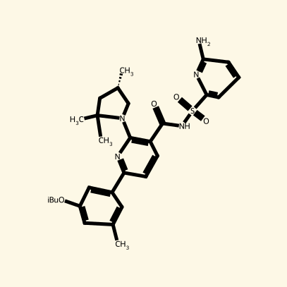 Cc1cc(OCC(C)C)cc(-c2ccc(C(=O)NS(=O)(=O)c3cccc(N)n3)c(N3C[C@@H](C)CC3(C)C)n2)c1